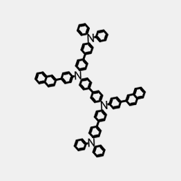 c1ccc(N(c2ccccc2)c2ccc(-c3ccc(N(c4ccc(-c5ccc(N(c6ccc(-c7ccc(N(c8ccccc8)c8ccccc8)cc7)cc6)c6ccc(-c7ccc8ccccc8c7)cc6)cc5)cc4)c4ccc(-c5ccc6ccccc6c5)cc4)cc3)cc2)cc1